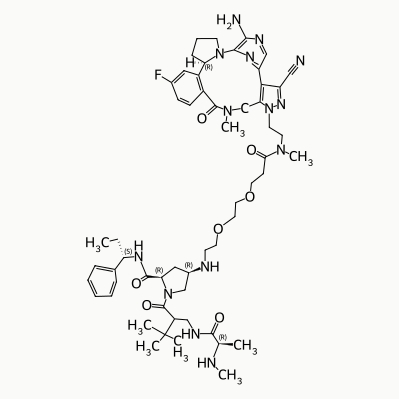 CC[C@H](NC(=O)[C@H]1C[C@@H](NCCOCCOCCC(=O)N(C)CCn2nc(C#N)c3c2CN(C)C(=O)c2ccc(F)cc2[C@H]2CCCN2c2nc-3cnc2N)CN1C(=O)C(CNC(=O)[C@@H](C)NC)C(C)(C)C)c1ccccc1